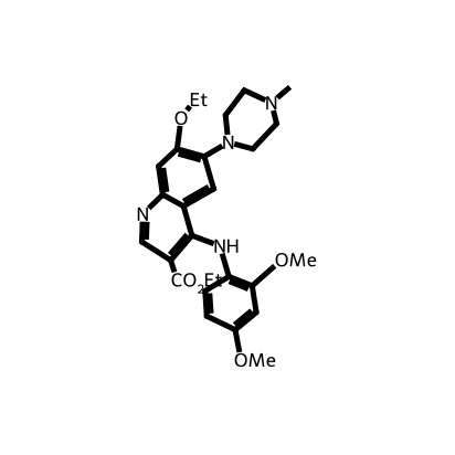 CCOC(=O)c1cnc2cc(OCC)c(N3CCN(C)CC3)cc2c1Nc1ccc(OC)cc1OC